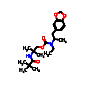 CCN(C(=O)OCC(C)(C)NC(=O)C(C)(C)C)C(C)Cc1ccc2c(c1)OCO2